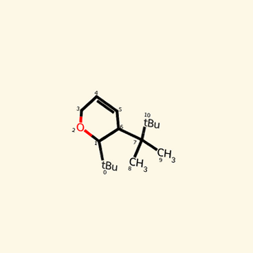 CC(C)(C)C1OCC=CC1C(C)(C)C(C)(C)C